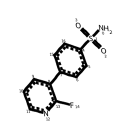 NS(=O)(=O)c1ccc(-c2cccnc2F)cc1